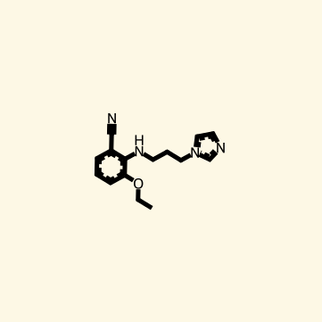 CCOc1cccc(C#N)c1NCCCn1ccnc1